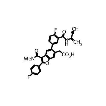 C#CC(=C)NC(=O)c1cc(-c2cc3c(C(=O)NC)c(-c4ccc(F)cc4)oc3cc2CC(=O)O)ccc1F